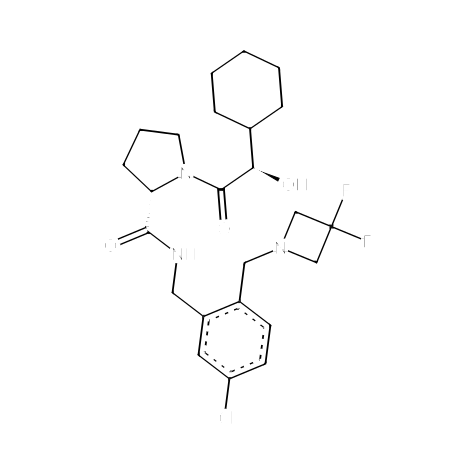 O=C(NCc1cc(Cl)ccc1CN1CC(F)(F)C1)[C@@H]1CCCN1C(=O)[C@H](O)C1CCCCC1